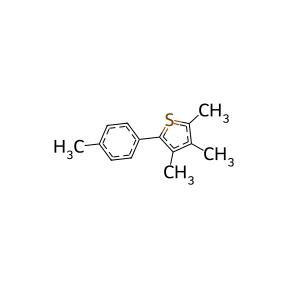 Cc1ccc(-c2sc(C)c(C)c2C)cc1